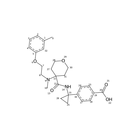 Cc1cccc(OCCN(C)C2(C(=O)NC3(c4ccc(C(=O)O)cc4)CC3)CCOCC2)c1